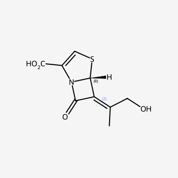 C/C(CO)=C1\C(=O)N2C(C(=O)O)=CS[C@H]12